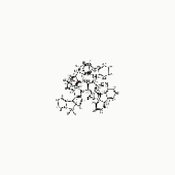 CC1(C)c2ccccc2-c2c1ccc1c2c2ccccc2n1-c1c(C#N)c(-n2c3ccccc3c3ccccc32)c(C#N)c(-n2c3ccccc3c3ccccc32)c1-n1c2ccccc2c2ccccc21